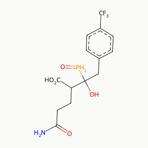 NC(=O)CCC(C(=O)O)C(O)(Cc1ccc(C(F)(F)F)cc1)[PH2]=O